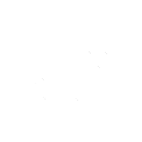 Cc1nc2cc(N3CCOCC3)cc(O[C@H]3CC[C@@H](Nc4ncccn4)CC3)c2n(C)c1=O